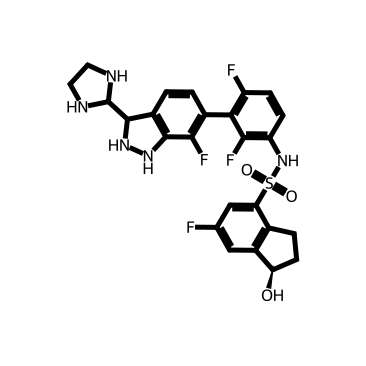 O=S(=O)(Nc1ccc(F)c(-c2ccc3c(c2F)NNC3C2NCCN2)c1F)c1cc(F)cc2c1CC[C@H]2O